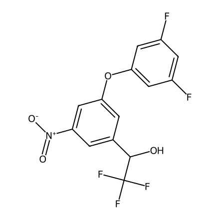 O=[N+]([O-])c1cc(Oc2cc(F)cc(F)c2)cc(C(O)C(F)(F)F)c1